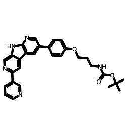 CC(C)(C)OC(=O)NCCCOc1ccc(-c2cnc3[nH]c4cnc(-c5cccnc5)cc4c3c2)cc1